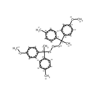 COc1ccc(C(C)(SOSC(C)(c2ccc(C)cc2)c2ccc(OC)cc2)c2ccc(C)cc2)cc1